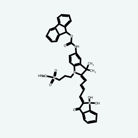 CC1(C)C(=CC=CC=C2C(=O)c3ccccc3S2(O)O)N(CCCS(=O)(=O)O)c2ccc(NC(=O)OC3c4ccccc4-c4ccccc43)cc21.[NaH]